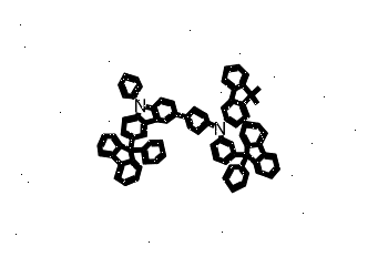 CC1(C)c2ccccc2-c2cc(N(c3ccc(-c4ccc5c(c4)c4cc(C6(c7ccccc7)c7ccccc7-c7ccccc76)ccc4n5-c4ccccc4)cc3)c3cccc(C4(c5ccccc5)c5ccccc5-c5ccccc54)c3)ccc21